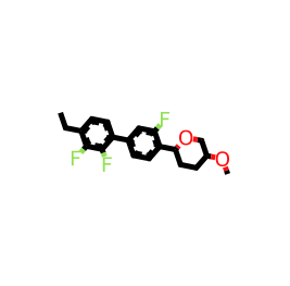 CCc1ccc(-c2ccc(C3CCC(OC)CO3)c(F)c2)c(F)c1F